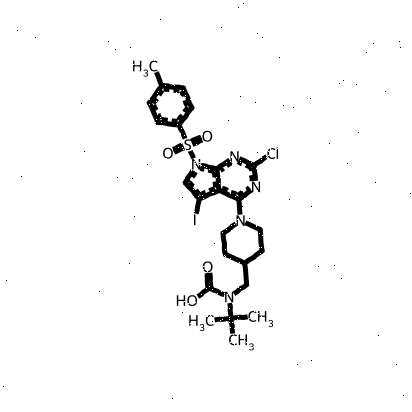 Cc1ccc(S(=O)(=O)n2cc(I)c3c(N4CCC(CN(C(=O)O)C(C)(C)C)CC4)nc(Cl)nc32)cc1